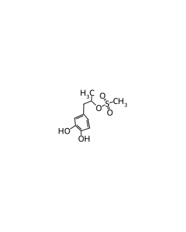 CC(Cc1ccc(O)c(O)c1)OS(C)(=O)=O